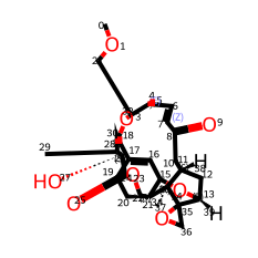 COCC1/C=C/C=C\C(=O)C[C@@H]2C[C@H]3OC4C=C(C)CC[C@]4(COC(=O)[C@@H](O)C(C)CCO1)[C@]2(C)C31CO1